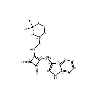 O=c1c(NC[C@@H]2CCCC(F)(F)C2)c(Nc2c[nH]c3ccccc23)c1=O